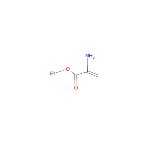 C=C(N)C(=O)OCC